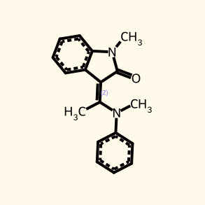 C/C(=C1/C(=O)N(C)c2ccccc21)N(C)c1ccccc1